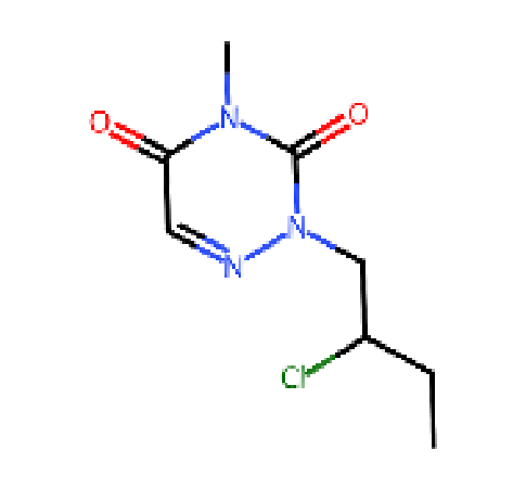 CCC(Cl)Cn1ncc(=O)n(C)c1=O